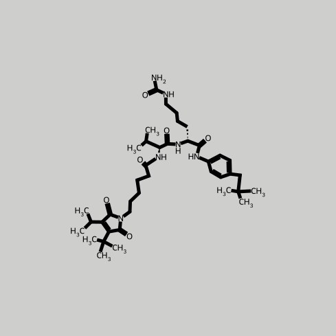 CC(C)C1=C(C(C)(C)C)C(=O)N(CCCCCC(=O)N[C@@H](C(=O)N[C@H](CCCCNC(N)=O)C(=O)Nc2ccc(CC(C)(C)C)cc2)C(C)C)C1=O